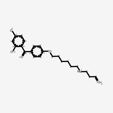 C=CCCNCCCCCCOc1ccc(C(=O)c2ccc(Cl)cc2Cl)cc1